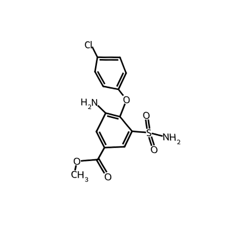 COC(=O)c1cc(N)c(Oc2ccc(Cl)cc2)c(S(N)(=O)=O)c1